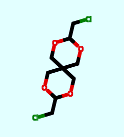 ClCC1OCC2(CO1)COC(CCl)OC2